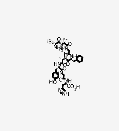 CC[C@H](C)[C@H](N)C(=O)N[C@H](C(=O)NCC(=O)N[C@@H](Cc1ccccc1)C(=O)N[C@@H](C)C(=O)N[C@@H](Cc1ccc(O)cc1)C(=O)NCC(=O)N[C@@H](Cc1c[nH]cn1)C(=O)O)C(C)C